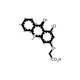 O=C(O)COc1cc(Cl)c2c(=O)c3ccccc3oc2c1